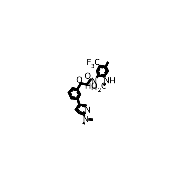 Cc1cc(NC(=O)O)c(NC(=O)CC(=O)c2cccc(-c3ccc(N(C)C)nc3)c2)cc1C(F)(F)F